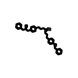 CCN(CCCc1ccc(CC(=O)Cc2ccccc2)cc1)CCCc1ccc(OCc2ccccc2)cc1